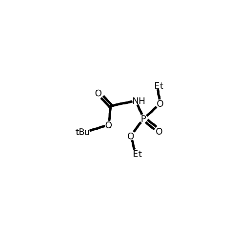 CCOP(=O)(NC(=O)OC(C)(C)C)OCC